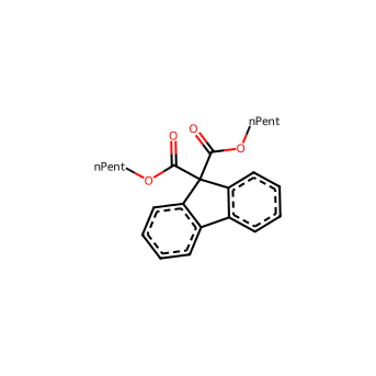 CCCCCOC(=O)C1(C(=O)OCCCCC)c2ccccc2-c2ccccc21